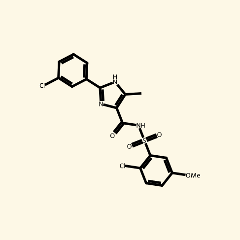 COc1ccc(Cl)c(S(=O)(=O)NC(=O)c2nc(-c3cccc(Cl)c3)[nH]c2C)c1